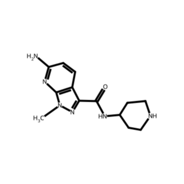 Cn1nc(C(=O)NC2CCNCC2)c2ccc(N)nc21